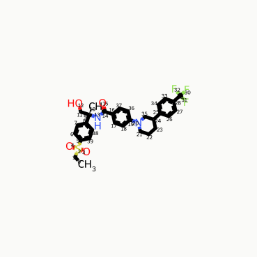 CCS(=O)(=O)c1ccc([C@@](C)(CO)NC(=O)c2ccc(N3CCCC(c4ccc(C(F)(F)F)cc4)C3)cc2)cc1